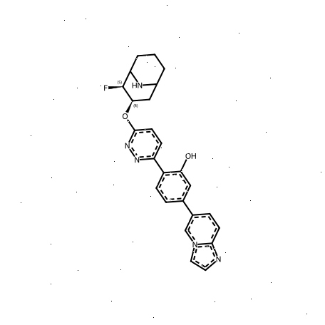 Oc1cc(-c2ccc3nccn3c2)ccc1-c1ccc(O[C@@H]2CC3CCCC(N3)[C@@H]2F)nn1